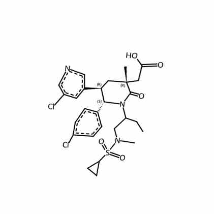 CCC(CN(C)S(=O)(=O)C1CC1)N1C(=O)[C@@](C)(CC(=O)O)C[C@H](c2cncc(Cl)c2)[C@H]1c1ccc(Cl)cc1